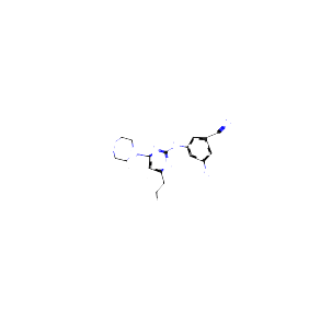 CCCc1cc(N2CCNC[C@H]2C)nc(Nc2cc(N)cc(C#N)c2)n1